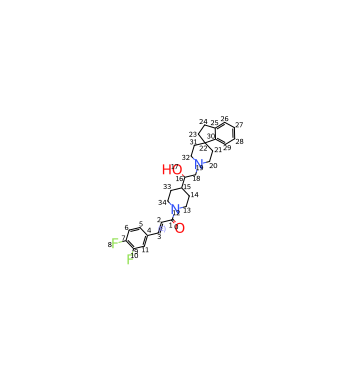 O=C(/C=C/c1ccc(F)c(F)c1)N1CCC(C(O)CN2CCC3(CCc4ccccc43)CC2)CC1